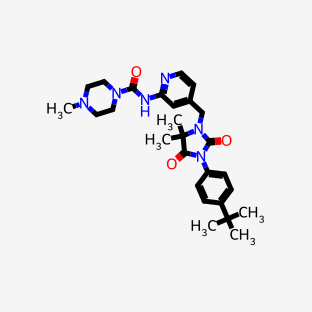 CN1CCN(C(=O)Nc2cc(CN3C(=O)N(c4ccc(C(C)(C)C)cc4)C(=O)C3(C)C)ccn2)CC1